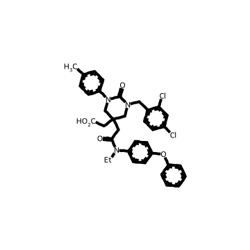 CCN(C(=O)CC1(CC(=O)O)CN(Cc2ccc(Cl)cc2Cl)C(=O)N(c2ccc(C)cc2)C1)c1ccc(Oc2ccccc2)cc1